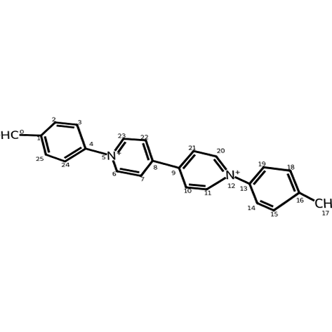 O=Cc1ccc(-[n+]2ccc(-c3cc[n+](-c4ccc(C=O)cc4)cc3)cc2)cc1